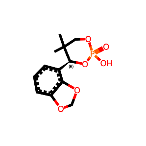 CC1(C)COP(=O)(O)O[C@H]1c1cccc2c1OCO2